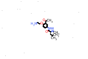 CN[C@@H](CC(C)C)C(=O)Nc1ccc(OCCN)c(C(C)=O)c1